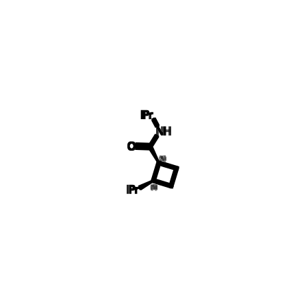 CC(C)NC(=O)[C@H]1CC[C@H]1C(C)C